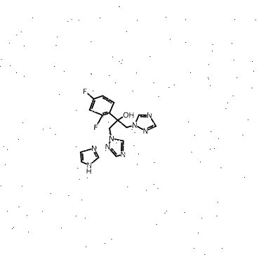 OC(Cn1cncn1)(Cn1cncn1)c1ccc(F)cc1F.c1c[nH]cn1